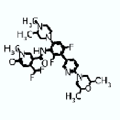 CC1CN(c2ccc(-c3c(F)cc(N4CCN(C)C(C)C4)c(NC(=O)c4cn(C)c(=O)cc4C(F)F)c3F)cn2)CC(C)O1